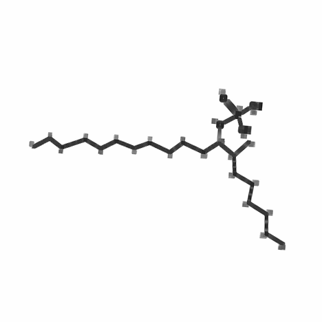 CCCCCCCCCCCC(OP(=O)(O)O)C(C)CCCCCC